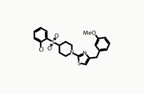 COc1cccc(Cc2csc(N3CCC(S(=O)(=O)c4ccccc4Cl)CC3)n2)c1